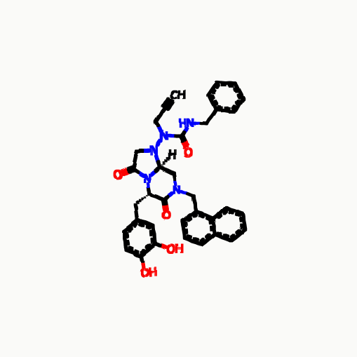 C#CCN(C(=O)NCc1ccccc1)N1CC(=O)N2[C@@H](Cc3ccc(O)c(O)c3)C(=O)N(Cc3cccc4ccccc34)C[C@@H]21